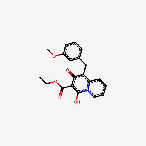 CCOC(=O)c1c(O)n2ccccc2c(Cc2cccc(OC)c2)c1=O